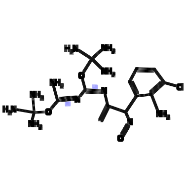 C=C(/N=C(\N=C(/N)OC(N)(N)N)OC(N)(N)N)C(N=O)c1cccc(Cl)c1N